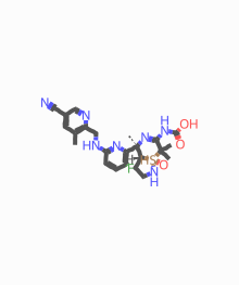 Cc1cc(C#N)cnc1CNc1ccc(F)c([C@@]2(C)N=C(NC(=O)O)C(C)(C)[SH]3(=O)NCC[C@H]23)n1